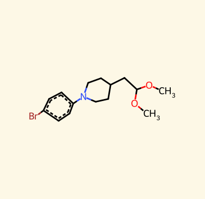 COC(CC1CCN(c2ccc(Br)cc2)CC1)OC